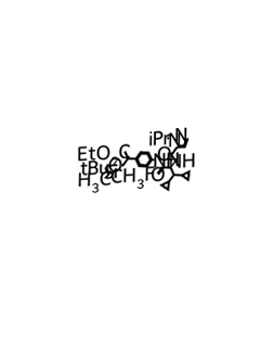 CCOC(=O)C(CO[Si](C)(C)C(C)(C)C)c1ccc(NC(=O)[C@@H](NC(=O)c2ccnn2C(C)C)C(C2CC2)C2CC2)c(F)c1